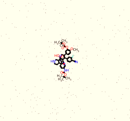 COc1ccc(-c2cnc(C3CNCCC3C3(/C=C/C(=O)O)C=CC(NC(=O)OC(C)(C)C)=CC3)c(C#N)c2-c2ccc(C#N)c(F)c2)cc1OC(=O)OC(C)(C)C